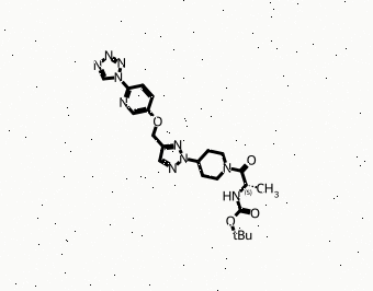 C[C@H](NC(=O)OC(C)(C)C)C(=O)N1CCC(n2ncc(COc3ccc(-n4cnnn4)nc3)n2)CC1